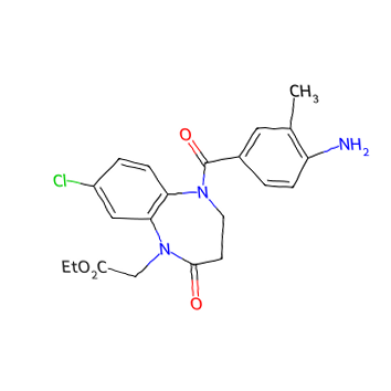 CCOC(=O)CN1C(=O)CCN(C(=O)c2ccc(N)c(C)c2)c2ccc(Cl)cc21